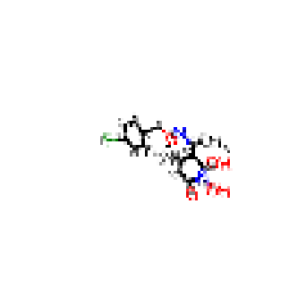 C/C(=N/OCc1ccc(F)cc1)c1c(C)cc(=O)n(O)c1O